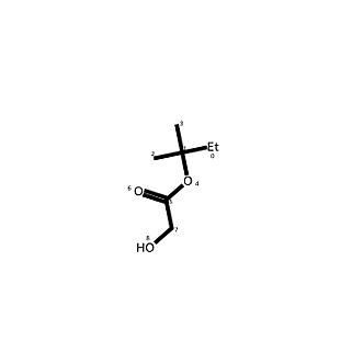 CCC(C)(C)OC(=O)CO